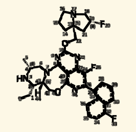 CC[C@@H]1N[C@H](C)CN2c3nc(OC[C@@]45CCCN4C[C@H](F)C5)nc4c(F)c(-c5cccc6c(F)cccc56)nc(c34)OC[C@H]12